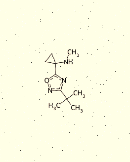 CNC1(c2nc(C(C)(C)C)no2)CC1